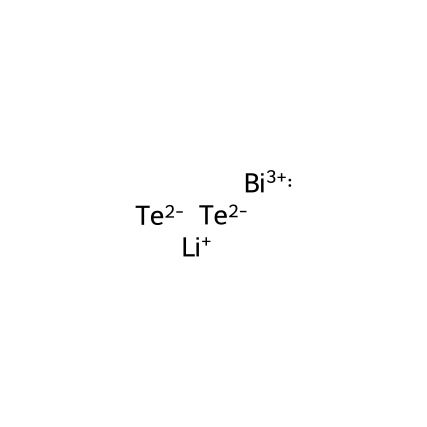 [Bi+3].[Li+].[Te-2].[Te-2]